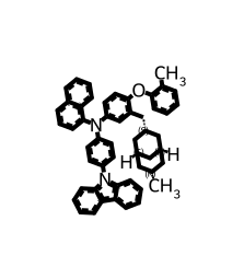 Cc1ccccc1Oc1ccc(N(c2ccc(-n3c4ccccc4c4ccccc43)cc2)c2cccc3ccccc23)cc1C[C@H]1C[C@H]2C[C@@H](C)C[C@@H](C1)C2